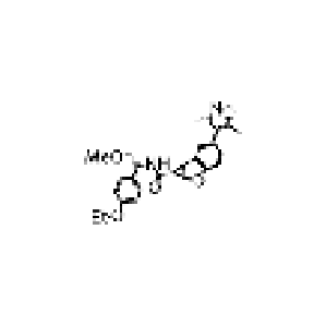 CCOc1ccc([C@H](COC)NC(=O)C2C3Oc4ccc(-c5c(C)noc5C)cc4C32)cc1